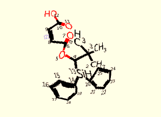 CC(C)(C)C(OC(=O)/C=C\C(=O)O)[SiH](c1ccccc1)c1ccccc1